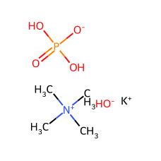 C[N+](C)(C)C.O=P([O-])(O)O.[K+].[OH-]